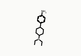 CCN(CC)C1CCC(c2ccc(N)cc2)CC1